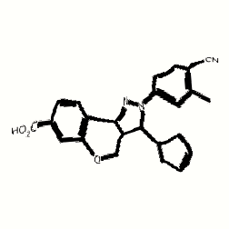 Cc1cc(N2N=C3c4ccc(C(=O)O)cc4OCC3C2C2CC=CC2)ccc1C#N